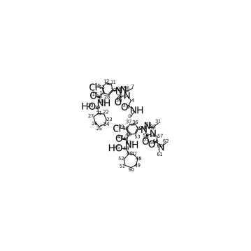 CNC(=O)Cn1c(C)nn(-c2ccc(Cl)c(C(=O)NC(O)C3CCCCCC3)c2)c1=O.Cc1nn(-c2ccc(Cl)c(C(=O)NC(O)C3CCCCCC3)c2)c(=O)n1CC(=O)N(C)C